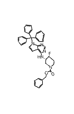 O=C(OCc1ccccc1)N1CC[C@@H](F)[C@@H](Nc2ncnc3c2ccn3C(c2ccccc2)(c2ccccc2)c2ccccc2)C1